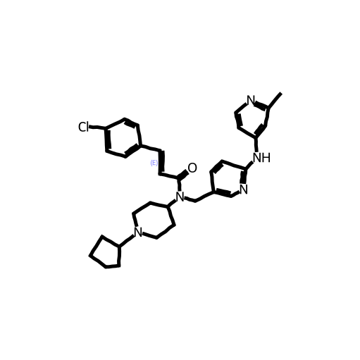 Cc1cc(Nc2ccc(CN(C(=O)/C=C/c3ccc(Cl)cc3)C3CCN(C4CCCC4)CC3)cn2)ccn1